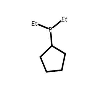 CCP(CC)C1CCCC1